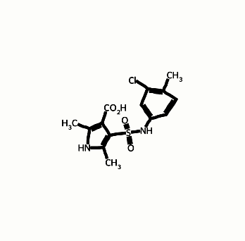 Cc1ccc(NS(=O)(=O)c2c(C)[nH]c(C)c2C(=O)O)cc1Cl